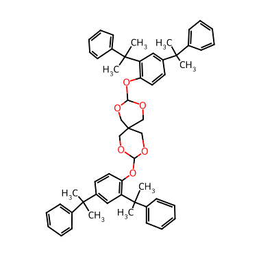 CC(C)(c1ccccc1)c1ccc(OC2OCC3(CO2)COC(Oc2ccc(C(C)(C)c4ccccc4)cc2C(C)(C)c2ccccc2)OC3)c(C(C)(C)c2ccccc2)c1